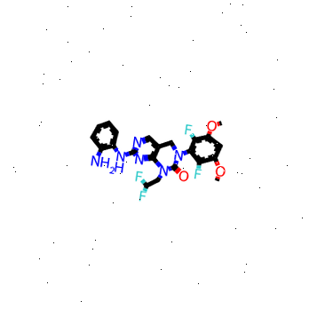 COc1cc(OC)c(F)c(N2Cc3cnc(Nc4ccccc4N)nc3N(CC(F)F)C2=O)c1F